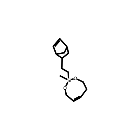 C[Si]1(CCC2CC3C=CC2C3)OC/C=C\CCO1